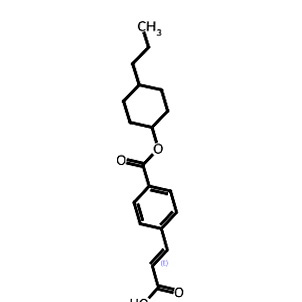 CCCC1CCC(OC(=O)c2ccc(/C=C/C(=O)O)cc2)CC1